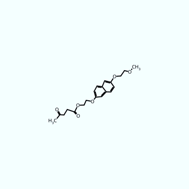 COCCOc1ccc2cc(OCCOC(=O)CCC(C)=O)ccc2c1